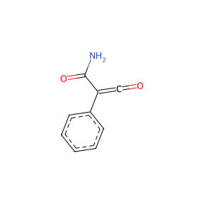 NC(=O)C(=C=O)c1ccccc1